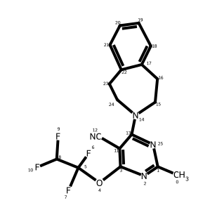 Cc1nc(OC(F)(F)C(F)F)c(C#N)c(N2CCc3ccccc3CC2)n1